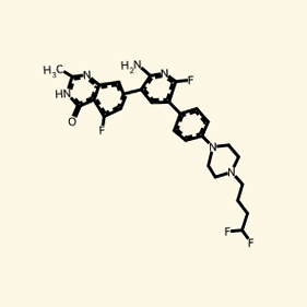 Cc1nc2cc(-c3cc(-c4ccc(N5CCN(CCCC(F)F)CC5)cc4)c(F)nc3N)cc(F)c2c(=O)[nH]1